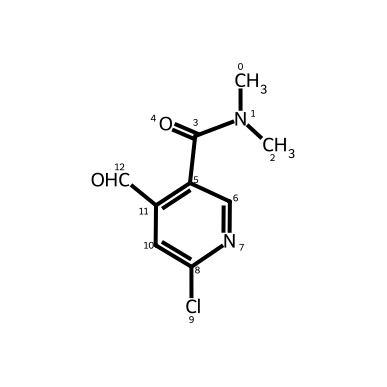 CN(C)C(=O)c1cnc(Cl)cc1C=O